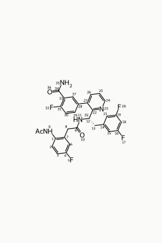 CC(=O)Nc1ccc(F)cc1CC(=O)N[C@@H](Cc1cc(F)cc(F)c1)c1ncccc1-c1ccc(F)c(C(N)=O)c1